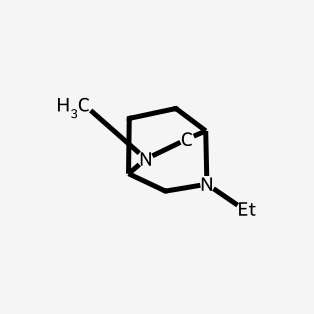 CCN1CC2CCC1CN2C